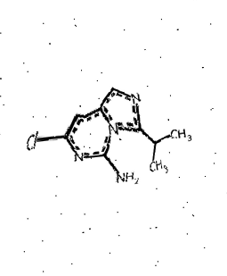 CC(C)c1ncc2cc(Cl)nc(N)n12